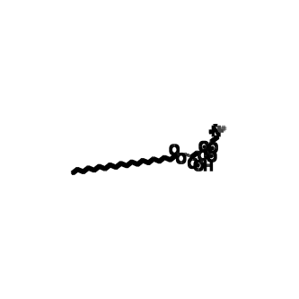 CCCCCCCCCCCCCCCCCCCC(=O)OC[C@H](COP(=O)([O-])OCC[N+](C)(C)C)OO